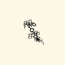 NS(=O)(=O)c1cc(Cl)c(NC(=O)c2ccc(-c3cc(C(F)(F)F)nn3-c3ccccc3Cl)cc2)c(Cl)c1